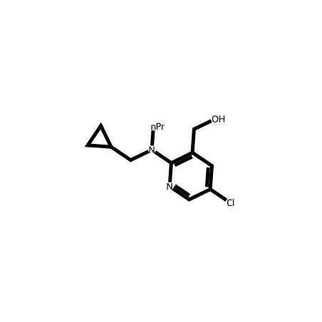 CCCN(CC1CC1)c1ncc(Cl)cc1CO